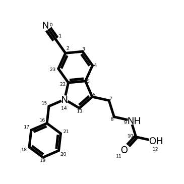 N#Cc1ccc2c(CCNC(=O)O)cn(Cc3ccccc3)c2c1